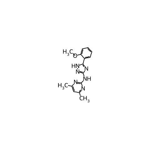 COc1ccccc1-c1nc(Nc2nc(C)cc(C)n2)n[nH]1